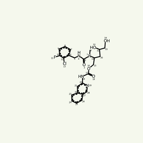 CN(C(=O)NCc1cccc(F)c1Cl)C(COC(=O)Nc1cc2ccccc2cn1)CC(O)CO